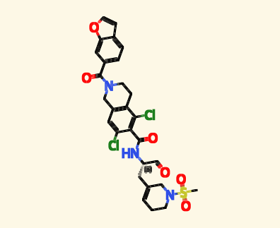 CS(=O)(=O)N1CCC=C(C[C@@H](C=O)NC(=O)c2c(Cl)cc3c(c2Cl)CCN(C(=O)c2ccc4ccoc4c2)C3)C1